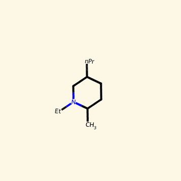 CCCC1CCC(C)N(CC)C1